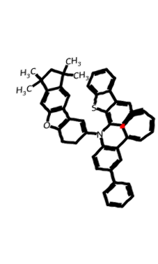 CC1(C)CC(C)(C)c2cc3c4c(oc3cc21)CCC(N(c1ccc(-c2ccccc2)cc1C1=CC=CC#CC1)c1cccc2c1sc1ccccc12)=C4